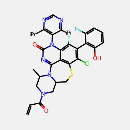 C=CC(=O)N1CC(C)N2c3nc(=O)n(-c4c(C(C)C)ncnc4C(C)C)c4c(F)c(-c5c(O)cccc5F)c(Cl)c(c34)SCC2C1